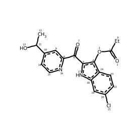 CCC(=O)Oc1c(C(=O)c2cc(C(C)O)ccn2)[nH]c2cc(Cl)ccc12